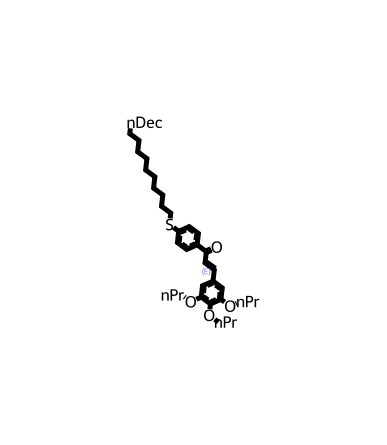 CCCCCCCCCCCCCCCCCCCCSc1ccc(C(=O)/C=C/c2cc(OCCC)c(OCCC)c(OCCC)c2)cc1